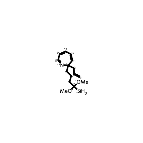 C=CCC1(CCCC([SiH3])(OC)OC)C=CC=CC=N1